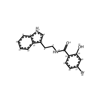 O=C(NCCc1c[nH]c2ccccc12)c1ccc(Br)cc1O